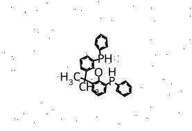 CC1(C)c2cccc(Pc3ccccc3)c2Oc2c(Pc3ccccc3)cccc21